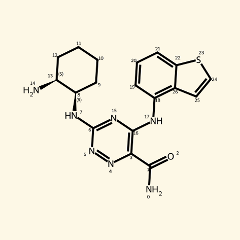 NC(=O)c1nnc(N[C@@H]2CCCC[C@@H]2N)nc1Nc1cccc2sccc12